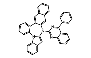 c1ccc(-c2nc(N3c4cc5ccccc5cc4-c4ccccc4-n4c3cc3ccccc34)nc3ccccc23)cc1